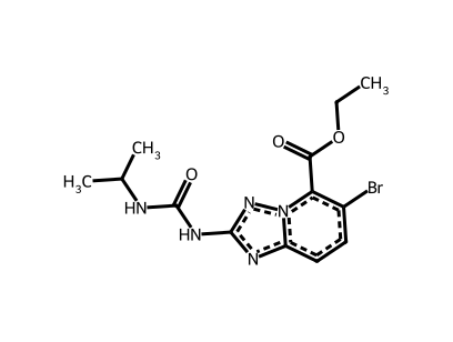 CCOC(=O)c1c(Br)ccc2nc(NC(=O)NC(C)C)nn12